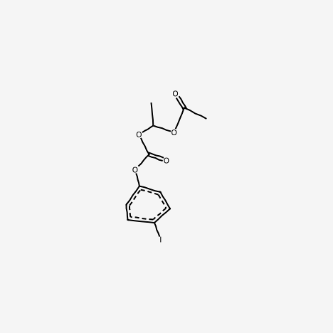 CC(=O)OC(C)OC(=O)Oc1ccc(I)cc1